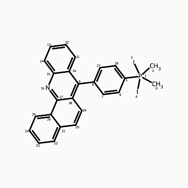 CP(C)(I)(I)c1ccc(-c2c3ccccc3nc3c2ccc2ccccc23)cc1